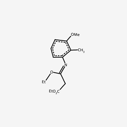 CCOC(=O)CC(=Nc1cccc(OC)c1C)OCC